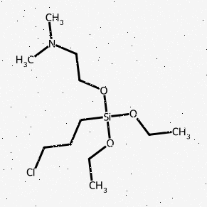 CCO[Si](CCCCl)(OCC)OCCN(C)C